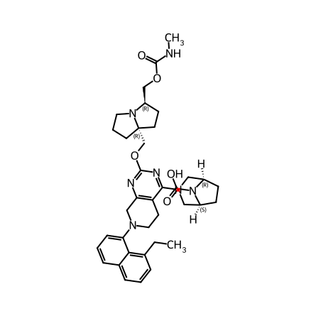 CCc1cccc2cccc(N3CCc4c(nc(OC[C@]56CCCN5[C@@H](COC(=O)NC)CC6)nc4N4C[C@H]5CC[C@@H](C4)N5C(=O)O)C3)c12